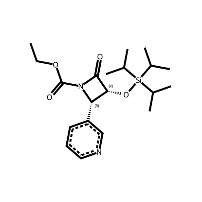 CCOC(=O)N1C(=O)[C@H](O[Si](C(C)C)(C(C)C)C(C)C)[C@@H]1c1cccnc1